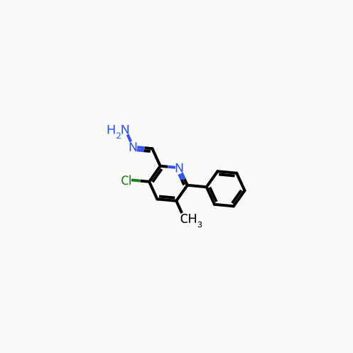 Cc1cc(Cl)c(/C=N/N)nc1-c1ccccc1